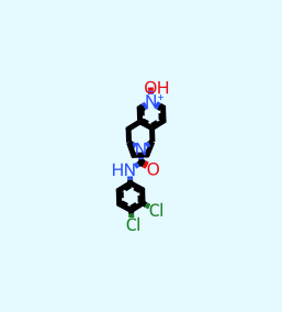 O=C(Nc1ccc(Cl)c(Cl)c1)N1C2CCC1c1cc[n+](O)cc1C2